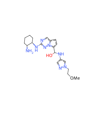 COCCn1cc(NC(O)c2ccc3cnc(N[C@@H]4CCCC[C@@H]4N)nn23)cn1